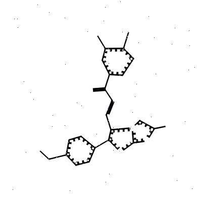 Cc1cn2c(/C=C/C(=O)c3ccc(C)c(C)c3)c(-c3ccc(CO)cc3)nc2s1